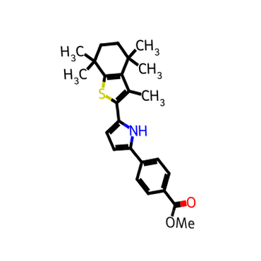 COC(=O)c1ccc(-c2ccc(-c3sc4c(c3C)C(C)(C)CCC4(C)C)[nH]2)cc1